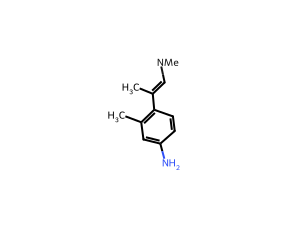 CN/C=C(\C)c1ccc(N)cc1C